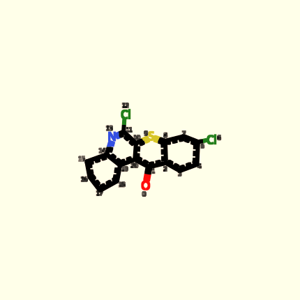 O=c1c2ccc(Cl)cc2sc2c(Cl)nc3ccccc3c12